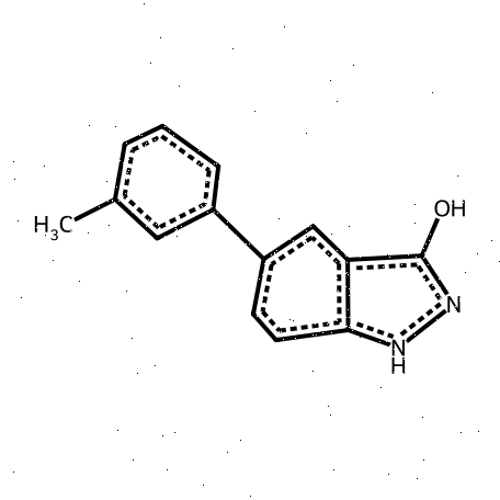 Cc1cccc(-c2ccc3[nH]nc(O)c3c2)c1